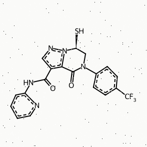 O=C(Nc1ccccn1)c1cnn2c1C(=O)N(c1ccc(C(F)(F)F)cc1)C[C@@H]2S